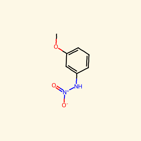 COc1cccc(N[N+](=O)[O-])c1